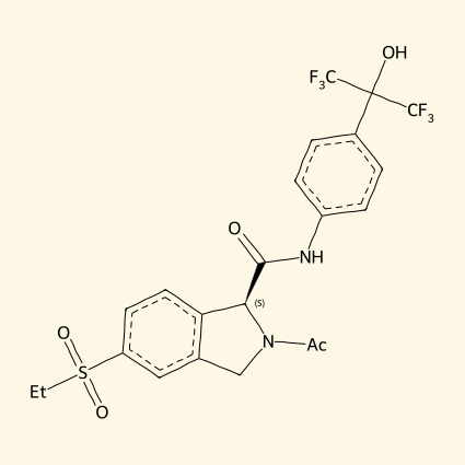 CCS(=O)(=O)c1ccc2c(c1)CN(C(C)=O)[C@@H]2C(=O)Nc1ccc(C(O)(C(F)(F)F)C(F)(F)F)cc1